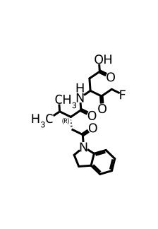 CC(C)[C@@H](CC(=O)N1CCc2ccccc21)C(=O)NC(CC(=O)O)C(=O)CF